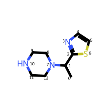 CC(c1nccs1)N1CCNCC1